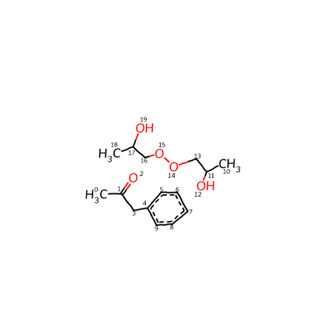 CC(=O)Cc1ccccc1.CC(O)COOCC(C)O